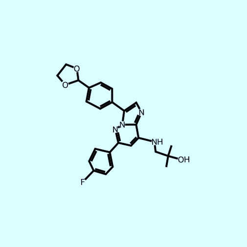 CC(C)(O)CNc1cc(-c2ccc(F)cc2)nn2c(-c3ccc(C4OCCO4)cc3)cnc12